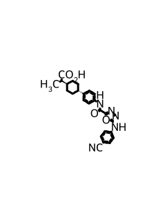 CC(C(=O)O)[C@H]1CC[C@H](c2ccc(NC(=O)c3nnc(Nc4ccc(C#N)cc4)o3)cc2)CC1